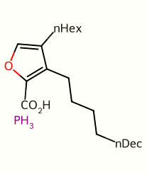 CCCCCCCCCCCCCCc1c(CCCCCC)coc1C(=O)O.P